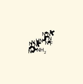 CC(C)(C)n1cnc2c(NCC(C)(C)n3nnc4cncc(N)c43)nc(F)nc21